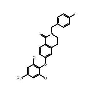 O=C1c2ccc(Oc3c(Cl)cc([N+](=O)[O-])cc3Cl)cc2CCN1Cc1ccc(F)cc1